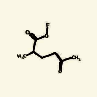 CC(=O)CCC(C)C(=O)OF